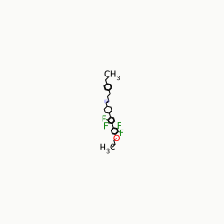 CCCOc1ccc(-c2ccc(C3=CCC(/C=C/CCc4ccc(CCC)cc4)CC3)c(F)c2F)c(F)c1F